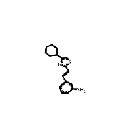 Nc1cccc(C=Cc2nc(C3CCCCC3)cs2)c1